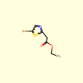 CCOC(=O)Cc1ncc(Br)s1